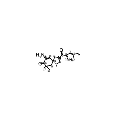 Cc1cc(C(=O)N2CC[C@]3(C=C(N)C(=O)C(C)(C)C3)C2)no1